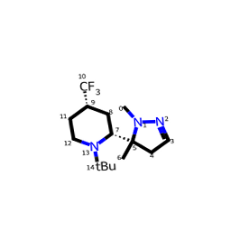 CN1N=CCC1(C)[C@H]1C[C@@H](C(F)(F)F)CCN1C(C)(C)C